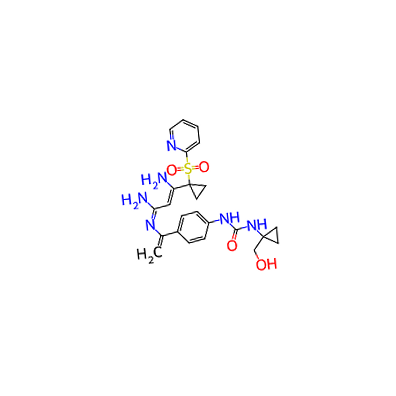 C=C(/N=C(N)\C=C(/N)C1(S(=O)(=O)c2ccccn2)CC1)c1ccc(NC(=O)NC2(CO)CC2)cc1